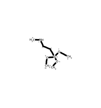 CNCC[Si](OC)(OC)OC